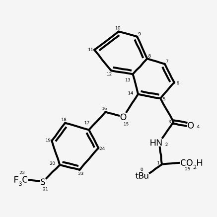 CC(C)(C)C(NC(=O)c1ccc2ccccc2c1OCc1ccc(SC(F)(F)F)cc1)C(=O)O